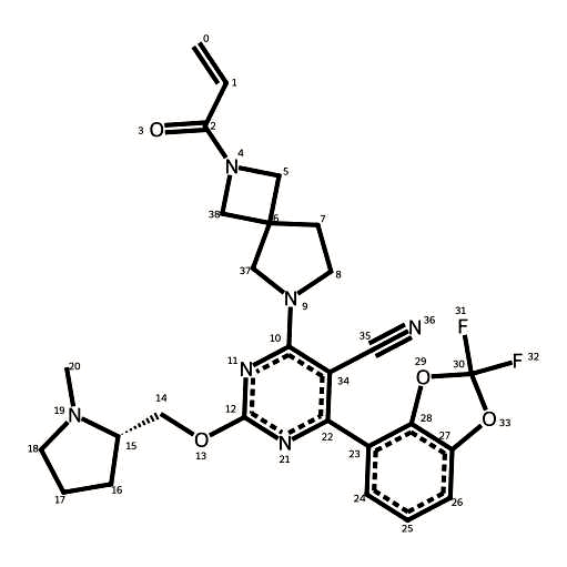 C=CC(=O)N1CC2(CCN(c3nc(OC[C@@H]4CCCN4C)nc(-c4cccc5c4OC(F)(F)O5)c3C#N)C2)C1